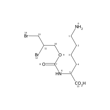 NCCCCC(NC(=O)OCC(Br)CBr)C(=O)O